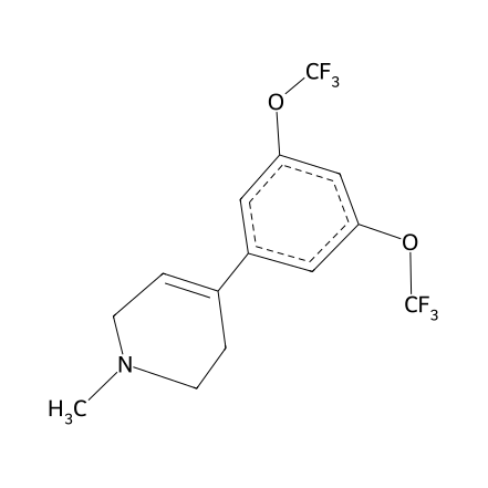 CN1CC=C(c2cc(OC(F)(F)F)cc(OC(F)(F)F)c2)CC1